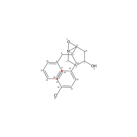 OC1CCN2OC2(C(Cc2ccccc2)Cc2ccc(Cl)cc2)C1